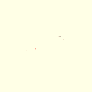 CCCCCCCC/C=C\CCCCCCCCOC1C2OC(=O)C(CC)C1(CC)C(=O)O2